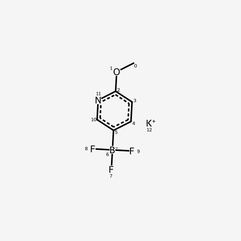 COc1ccc([B-](F)(F)F)cn1.[K+]